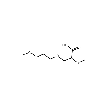 COC(COCCSSC)C(=O)O